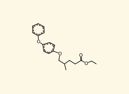 CCOC(=O)CCC(C)COc1ccc(Oc2ccccc2)cc1